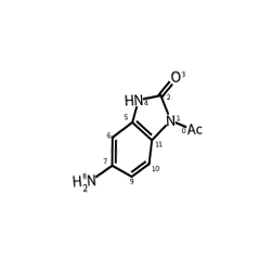 CC(=O)n1c(=O)[nH]c2cc(N)ccc21